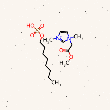 CCCCCCCCOS(=O)(=O)O.COC(=O)C[N+]1(C)C=C[N+](C)=C1